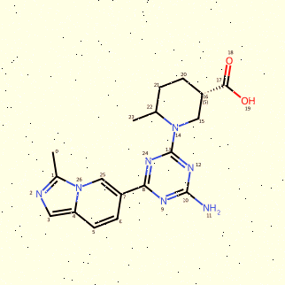 Cc1ncc2ccc(-c3nc(N)nc(N4C[C@@H](C(=O)O)CCC4C)n3)cn12